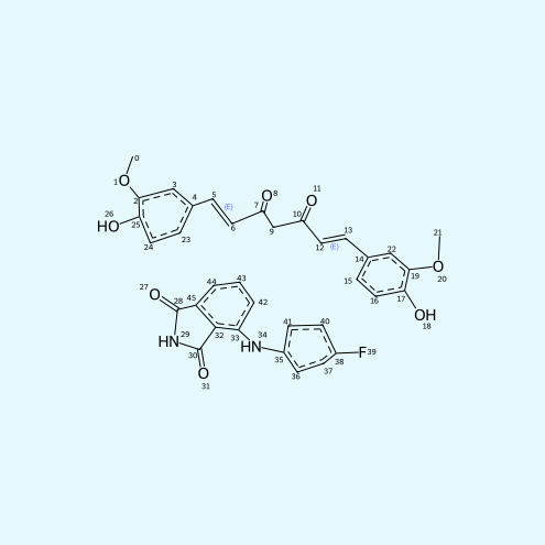 COc1cc(/C=C/C(=O)CC(=O)/C=C/c2ccc(O)c(OC)c2)ccc1O.O=C1NC(=O)c2c(Nc3ccc(F)cc3)cccc21